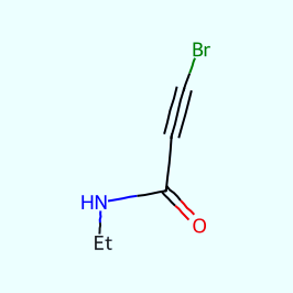 CCNC(=O)C#CBr